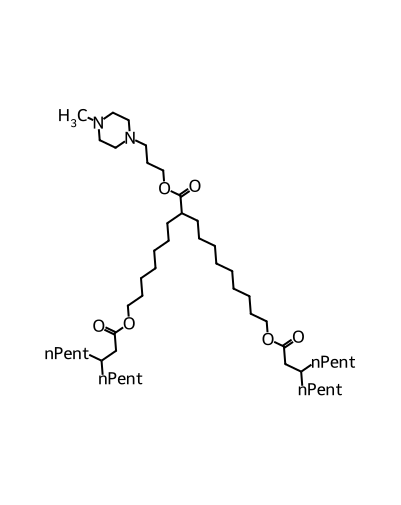 CCCCCC(CCCCC)CC(=O)OCCCCCCCCCC(CCCCCCCOC(=O)CC(CCCCC)CCCCC)C(=O)OCCCN1CCN(C)CC1